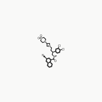 CN(CC(CCN1CC(N2CCS(=O)(=O)CC2)C1)c1ccc(Cl)c(Cl)c1)C(=O)c1cc(C#N)cc2ccccc12